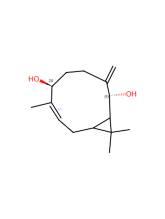 C=C1CC[C@H](O)/C(C)=C\CC2C([C@H]1O)C2(C)C